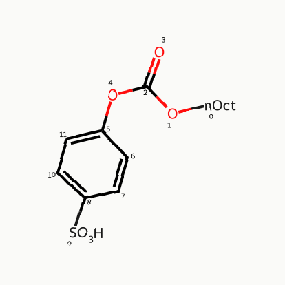 CCCCCCCCOC(=O)Oc1ccc(S(=O)(=O)O)cc1